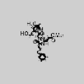 COC(=O)CCC(=O)N[C@@H](CCOc1ccccc1)C(=O)NCC(=O)N1[C@H]2C[C@@]2(C)C[C@H]1C(=O)O